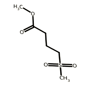 COC(=O)CCCS(C)(=O)=O